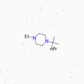 CCCC(C)(C)N1CCN(CC)CC1